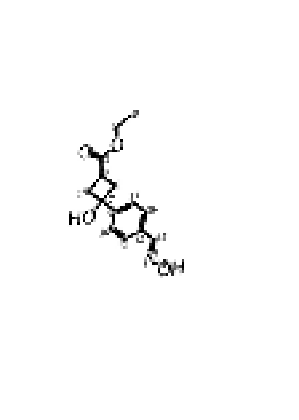 CCOC(=O)C1CC(O)(c2ccc(C=NO)cc2)C1